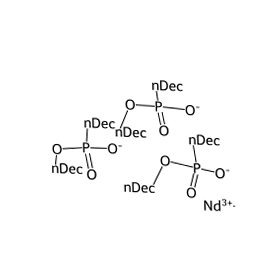 CCCCCCCCCCOP(=O)([O-])CCCCCCCCCC.CCCCCCCCCCOP(=O)([O-])CCCCCCCCCC.CCCCCCCCCCOP(=O)([O-])CCCCCCCCCC.[Nd+3]